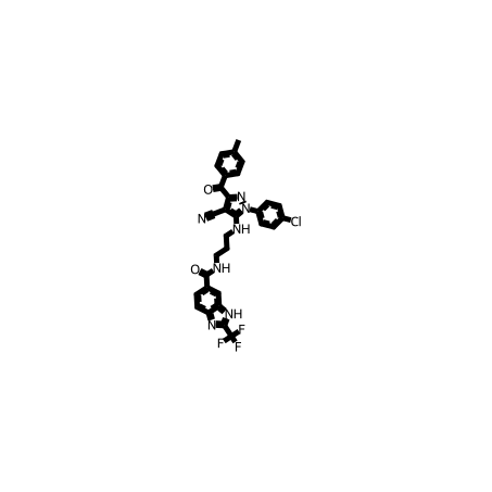 Cc1ccc(C(=O)c2nn(-c3ccc(Cl)cc3)c(NCCCNC(=O)c3ccc4nc(C(F)(F)F)[nH]c4c3)c2C#N)cc1